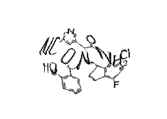 N#Cc1cncc([C@H](C(N)=O)N(C(=O)c2ccccc2O)[C@@H]2CCc3c(F)cc(Cl)cc32)c1